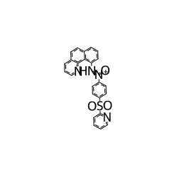 O=[N+](Nc1cccc2ccc3cccnc3c12)c1ccc(S(=O)(=O)c2ccccn2)cc1